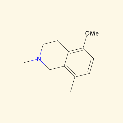 COc1ccc(C)c2c1CCN(C)C2